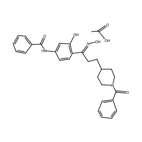 CC(=O)O.O=C(Nc1ccc(C(CCC2CCN(C(=O)c3ccccc3)CC2)=NO)c(O)c1)c1ccccc1